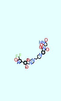 COc1cc(-c2cc(C(F)F)c(=O)n(C)c2)cc(OC)c1CN1CCN(CCC2CCN(c3ccc4c(c3)C(=O)N(C3CCC(=O)NC3=O)C4=O)CC2)CC1